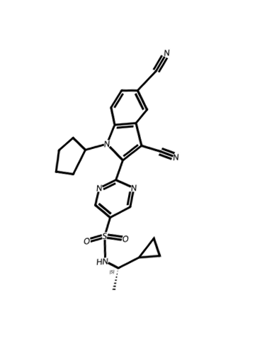 C[C@H](NS(=O)(=O)c1cnc(-c2c(C#N)c3cc(C#N)ccc3n2C2CCCC2)nc1)C1CC1